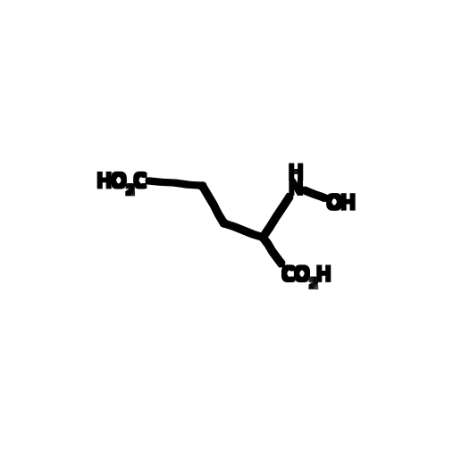 O=C(O)CCC(NO)C(=O)O